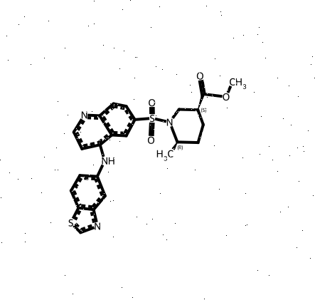 COC(=O)[C@H]1CC[C@@H](C)N(S(=O)(=O)c2ccc3nccc(Nc4ccc5scnc5c4)c3c2)C1